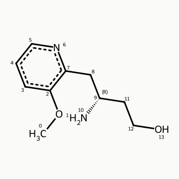 COc1cccnc1C[C@@H](N)CCO